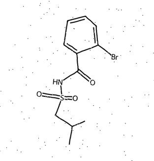 CC(C)CS(=O)(=O)NC(=O)c1ccccc1Br